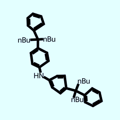 CCCCC(CCCC)(c1ccccc1)c1ccc(Nc2ccc(C(CCCC)(CCCC)c3ccccc3)cc2)cc1